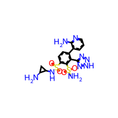 Nc1ncccc1-c1ccc(S(=O)(=O)NC2C[C@@H]2N)c(S(N)(=O)=O)c1-c1nn[nH]n1